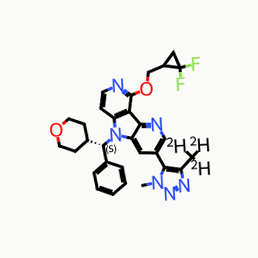 [2H]C([2H])([2H])c1nnn(C)c1-c1cnc2c3c(OCC4CC4(F)F)nccc3n([C@H](c3ccccc3)C3CCOCC3)c2c1